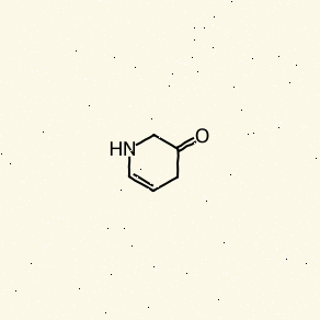 O=C1CC=CNC1